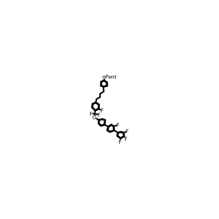 CCCCCc1ccc(CCCCc2ccc(C(F)(F)Oc3ccc(-c4ccc(-c5cc(F)c(F)c(F)c5)c(F)c4)cc3)c(F)c2)cc1